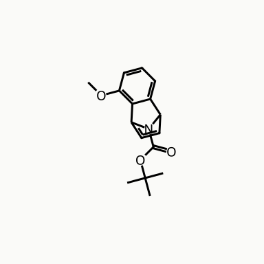 COc1cccc2c1C1=C=CC2N1C(=O)OC(C)(C)C